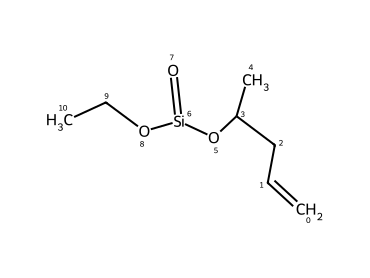 C=CCC(C)O[Si](=O)OCC